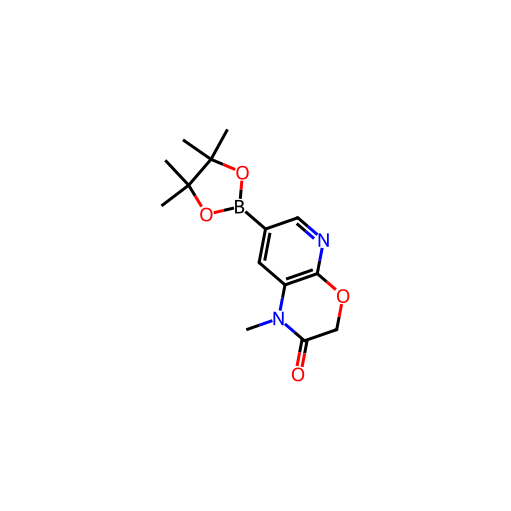 CN1C(=O)COc2ncc(B3OC(C)(C)C(C)(C)O3)cc21